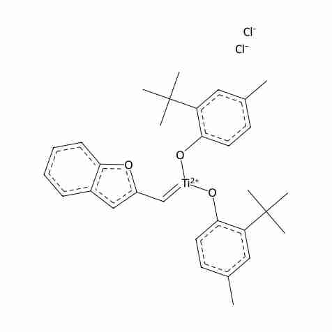 Cc1ccc([O][Ti+2](=[CH]c2cc3ccccc3o2)[O]c2ccc(C)cc2C(C)(C)C)c(C(C)(C)C)c1.[Cl-].[Cl-]